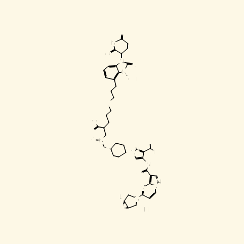 C[C@@H]1C2O[C@H]2CN1c1ccn2ncc(C(=O)Nc3cn([C@H]4CC[C@H](CN(C)CC(CCCOCCCc5cccc6c5n(C)c(=O)n6C5CCC(=O)NC5=O)C(=O)O)CC4)nc3C(F)F)c2n1